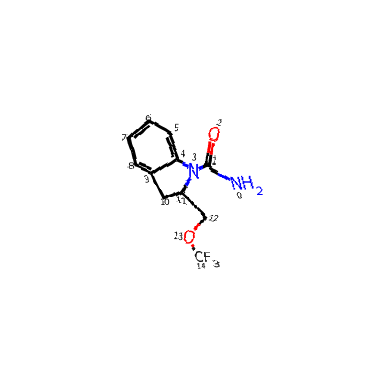 NC(=O)N1c2ccccc2CC1COC(F)(F)F